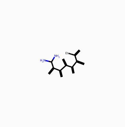 C=C(CC)C(=C)C(=C)C(=C)C(=C)C(=C)C(N)N